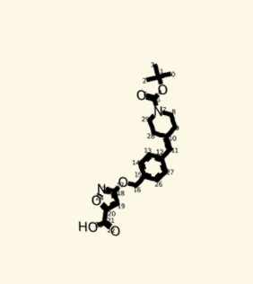 CC(C)(C)OC(=O)N1CCC(=Cc2ccc(COc3cc(C(=O)O)on3)cc2)CC1